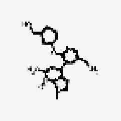 Cc1cc(-c2cc(CN)cnc2Oc2cccc(CO)c2)c2cc[nH]c2[n+]1[O-]